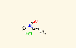 CCCN(C=O)C1CC1.Cl